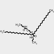 CCCCCCCCCCCCCCCCCCC(CCCCCCCCCCCCCCCCCC)(OCCOCC(=O)NCCC)C(=O)NCCC